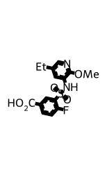 CCc1cnc(OC)c(NS(=O)(=O)c2cc(C(=O)O)ccc2F)c1